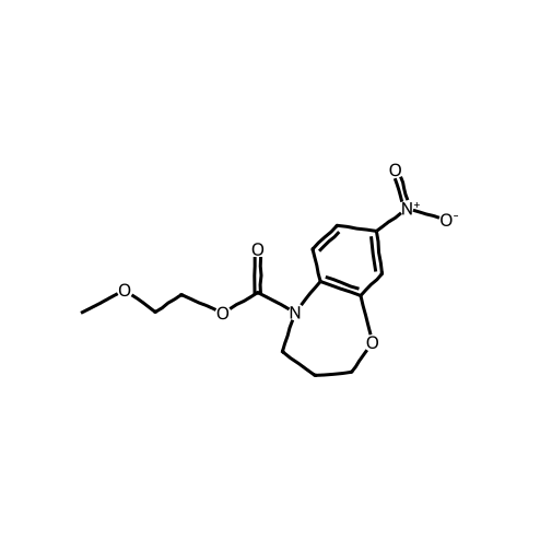 COCCOC(=O)N1CCCOc2cc([N+](=O)[O-])ccc21